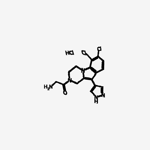 Cl.NCC(=O)N1CCn2c(c(-c3cn[nH]c3)c3ccc(Cl)c(Cl)c32)C1